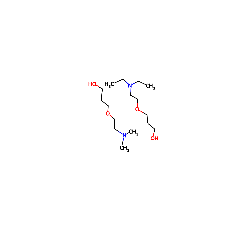 CCN(CC)CCOCCCO.CN(C)CCOCCCO